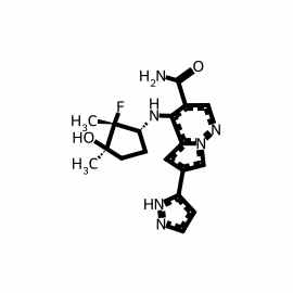 C[C@@]1(O)CC[C@@H](Nc2c(C(N)=O)cnn3cc(-c4ccn[nH]4)cc23)[C@@]1(C)F